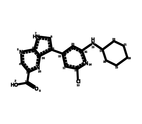 O=C(O)c1cnc2[nH]cc(-c3cc(Cl)nc(NC4CCCCC4)c3)c2n1